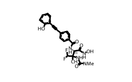 CNC(=O)NC(C)(C(F)F)[C@H](NC(=O)c1ccc(C#Cc2ccccc2O)cc1)C(=O)NO